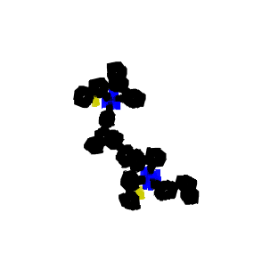 c1cc(-c2nc(-c3ccccc3-c3ccc4ccc(-c5ccc6c(-c7ccc(-c8nc(-c9ccccc9-c9ccc%10ccccc%10c9)nc(-c9cccc%10c9sc9ccccc9%10)n8)cc7)cc7ccccc7c6c5)cc4c3)nc(-c3cccc4c3sc3ccccc34)n2)cc(-c2cccc3ccccc23)c1